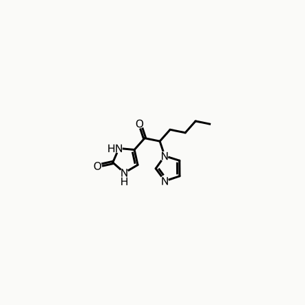 CCCCC(C(=O)c1c[nH]c(=O)[nH]1)n1ccnc1